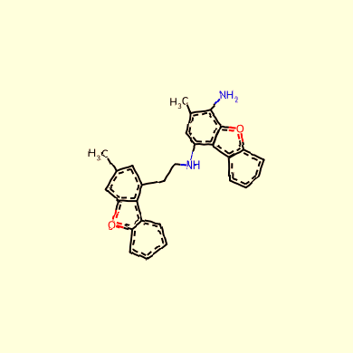 Cc1cc(CCNc2cc(C)c(N)c3oc4ccccc4c23)c2c(c1)oc1ccccc12